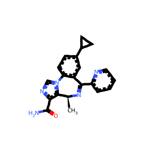 C[C@@H]1N=C(c2ccccn2)c2cc(C3CC3)ccc2-n2cnc(C(N)=O)c21